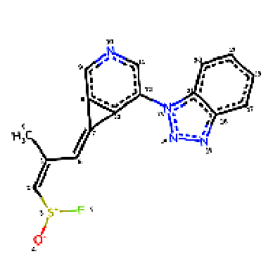 CC(=C/[S+]([O-])F)/C=C1\c2cncc(-n3nnc4ccccc43)c21